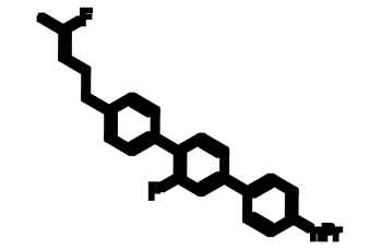 CCCc1ccc(-c2ccc(-c3ccc(CC/C=C(/C)F)cc3)c(F)c2)cc1